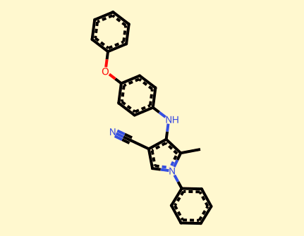 Cc1c(Nc2ccc(Oc3ccccc3)cc2)c(C#N)cn1-c1ccccc1